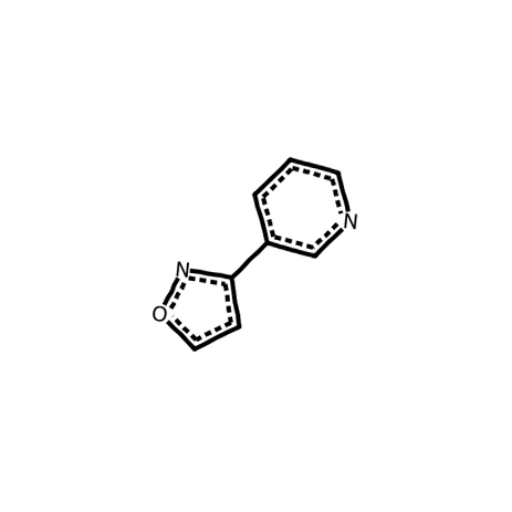 c1cncc(-c2ccon2)c1